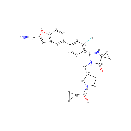 N#Cc1cc2cc(-c3ccc(C4=NC5(CC5)C(=O)N4C[C@@H]4CCN(C(=O)C5CC5)C4)c(F)c3)ccc2o1